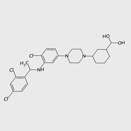 CC(Nc1cc(N2CCN(C3CCCC(C(O)O)C3)CC2)ccc1Cl)c1ccc(Cl)cc1Cl